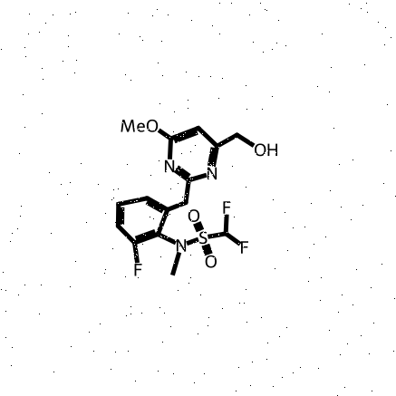 COc1cc(CO)nc(Cc2cccc(F)c2N(C)S(=O)(=O)C(F)F)n1